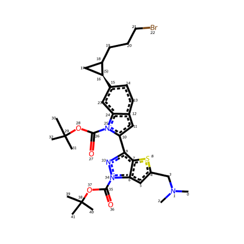 CN(C)Cc1cc2c(s1)c(-c1cc3ccc([C@H]4CC4CCCBr)cc3n1C(=O)OC(C)(C)C)nn2C(=O)OC(C)(C)C